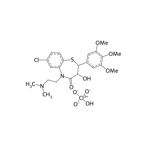 COc1cc(C2Sc3ccc(Cl)cc3N(CCN(C)C)C(=O)C2O)cc(OC)c1OC.[O-][Cl+3]([O-])([O-])O